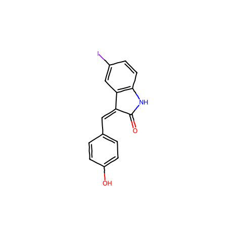 O=C1Nc2ccc(I)cc2C1=Cc1ccc(O)cc1